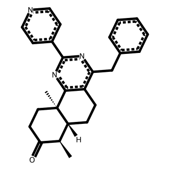 C[C@H]1C(=O)CC[C@@]2(C)c3nc(-c4ccncc4)nc(Cc4ccccc4)c3CC[C@H]12